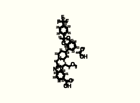 COCCn1c(CN2CCC(c3cccc4c3OC(C)(c3ccc(C(F)(F)F)cc3)O4)CC2)nc2ccc(C(=O)O)cc21.O=CO